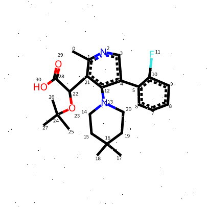 Cc1ncc(-c2ccccc2F)c(N2CCC(C)(C)CC2)c1C(OC(C)(C)C)C(=O)O